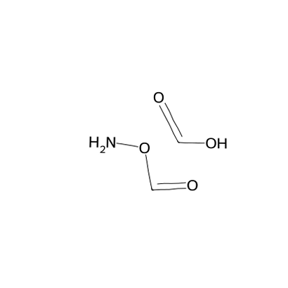 NOC=O.O=CO